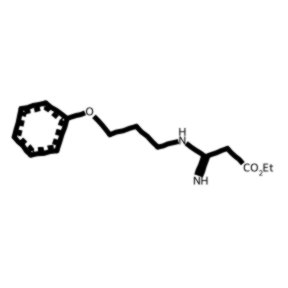 CCOC(=O)CC(=N)NCCCOc1ccccc1